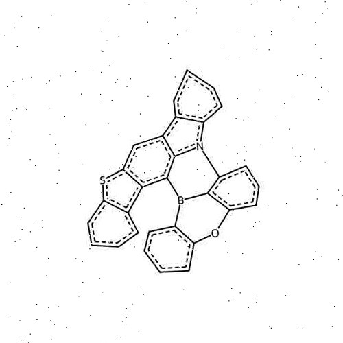 c1ccc2c(c1)Oc1cccc3c1B2c1c2c(cc4c5ccccc5n-3c14)sc1ccccc12